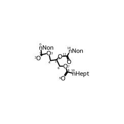 CCCCCCCCCC(=O)OCC(COC(=O)CCCCCCC)OC(=O)CCCCCCCCC